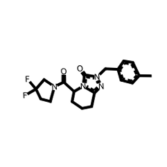 Cc1ccc(Cn2nc3n(c2=O)C(C(=O)N2CCC(F)(F)C2)CCC3)cc1